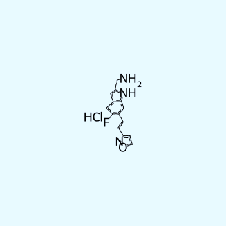 Cl.NCc1cc2cc(F)c(/C=C/c3ccon3)cc2[nH]1